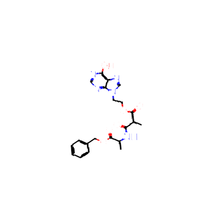 CC(NC(=O)C(C)C(=O)OCCn1cnc2c(O)ncnc21)C(=O)OCc1ccccc1